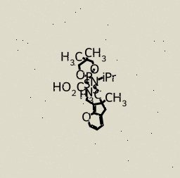 CC(C)N(SN(CC1=C2OC=CC=C2CC1(C)C)C(=O)O)P1(=S)OCC(C)(C)CO1